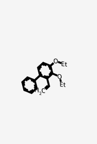 C=Cc1c(-c2ccccc2)ccc(OCC)c1OCC